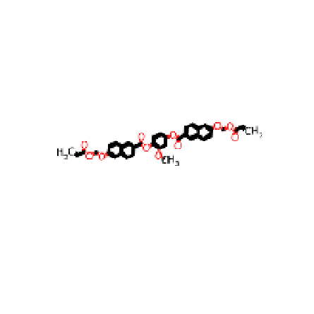 C=CC(=O)OCOc1ccc2cc(C(=O)Oc3ccc(OC(=O)c4ccc5cc(OCOC(=O)C=C)ccc5c4)c(OC)c3)ccc2c1